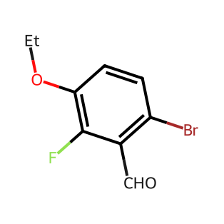 CCOc1ccc(Br)c(C=O)c1F